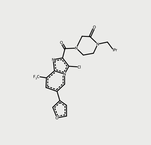 CC(C)CN1CCN(C(=O)c2nc3c(C(F)(F)F)cc(-c4ccoc4)cn3c2Cl)CC1=O